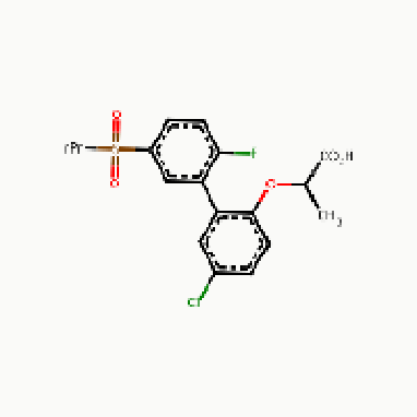 CCCS(=O)(=O)c1ccc(F)c(-c2cc(Cl)ccc2OC(C)C(=O)O)c1